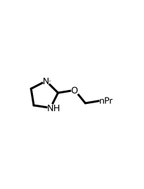 CCCCOC1[N]CCN1